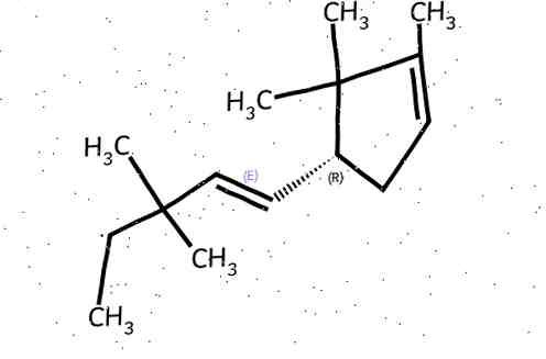 C[CH]C(C)(C)/C=C/[C@H]1CC=C(C)C1(C)C